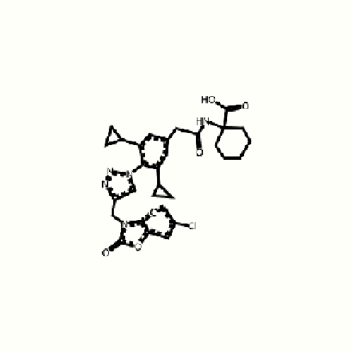 O=C(Cc1cc(C2CC2)c(-n2cc(Cn3c(=O)oc4cc(Cl)ccc43)nn2)c(C2CC2)c1)NC1(C(=O)O)CCCCC1